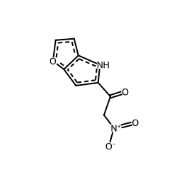 O=C(C[N+](=O)[O-])c1cc2occc2[nH]1